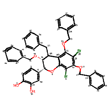 Oc1ccc([C@H]2Oc3c(Br)c(OCc4ccccc4)c(Br)c(OCc4ccccc4)c3C(Cc3ccccc3)[C@H]2OCc2ccccc2)cc1O